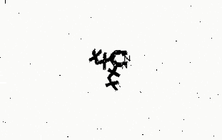 CC(C)(C)CC(C)(C)c1ccnnc1C(C)(C)CC(C)(C)C